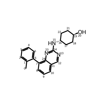 Cc1ccccc1-c1cccc2cnc(N[C@H]3CC[C@H](O)CC3)nc12